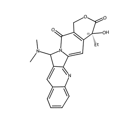 CC[C@@]1(O)C(=O)OCc2c1cc1n(c2=O)C(N(C)C)c2cc3ccccc3nc2-1